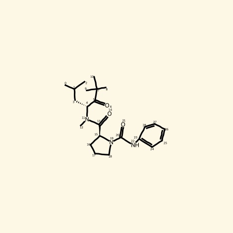 CC(C)C[C@H](C(=O)C(C)(C)C)N(C)C(=O)[C@@H]1CCCN1C(=O)Nc1ccccc1